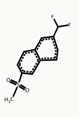 CS(=O)(=O)c1ccc2cc([C](F)F)ccc2c1